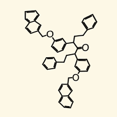 O=C(C(CCc1ccccc1)c1cccc(OCc2ccc3ccccc3c2)c1)C(CCc1ccccc1)c1cccc(OCc2ccc3ccccc3c2)c1